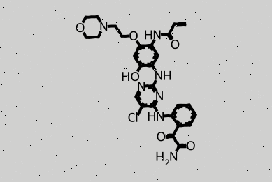 C=CC(=O)Nc1cc(Nc2ncc(Cl)c(Nc3ccccc3C(=O)C(N)=O)n2)c(O)cc1OCCN1CCOCC1